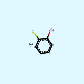 Oc1ccccc1S.[Au]